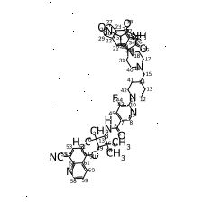 CC1(C)C(NC(=O)c2cnc(N3CCC(CN4CCN(c5cc6c(cc5F)C5OC6N5C5CCC(=O)NC5=O)CC4)CC3)c(F)c2)C(C)(C)C1Oc1ccc(C#N)c2ncccc12